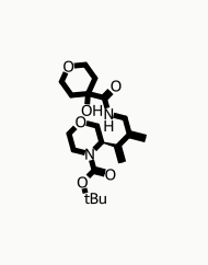 C=C(CNC(=O)C1(O)CCOCC1)C(=C)[C@@H]1COCCN1C(=O)OC(C)(C)C